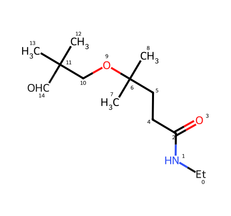 CCNC(=O)CCC(C)(C)OCC(C)(C)C=O